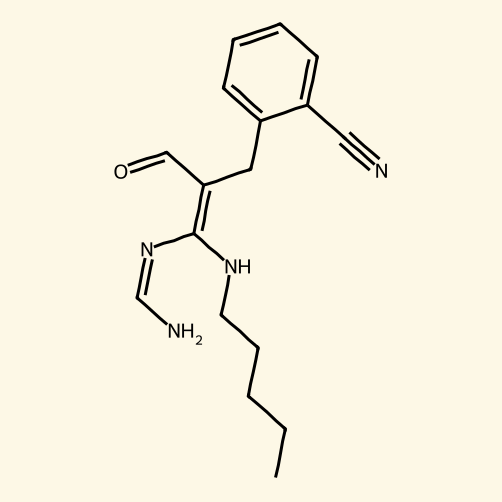 CCCCCNC(/N=C\N)=C(/C=O)Cc1ccccc1C#N